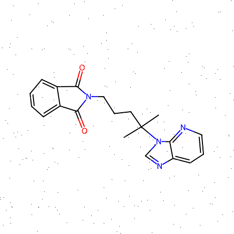 CC(C)(CCCN1C(=O)c2ccccc2C1=O)n1cnc2cccnc21